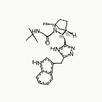 CC(C)(C)NC(=O)N1[C@@H]2CC[C@@H](C2)[C@H]1c1nnc(Cc2c[nH]c3ccccc23)[nH]1